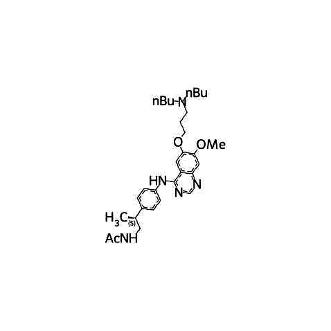 CCCCN(CCCC)CCCOc1cc2c(Nc3ccc([C@H](C)CNC(C)=O)cc3)ncnc2cc1OC